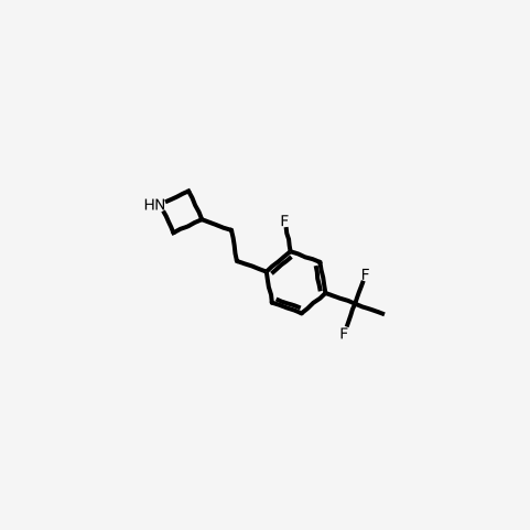 CC(F)(F)c1ccc(CCC2CNC2)c(F)c1